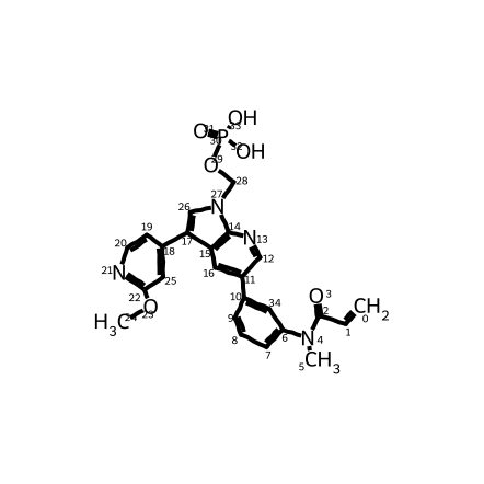 C=CC(=O)N(C)c1cccc(-c2cnc3c(c2)c(-c2ccnc(OC)c2)cn3COP(=O)(O)O)c1